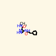 CNC(=O)c1n[nH]cc1NC(=O)C=Cc1ccccc1